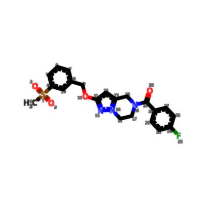 CS(=O)(=O)c1cccc(COc2cc3n(n2)CCN(C(=O)c2ccc(F)cc2)C3)c1